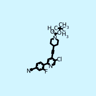 CC(C)(C)OC(=O)N1CCC(C#Cc2cc(-c3ccc(C#N)cc3F)ncc2Cl)CC1